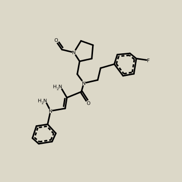 N/C(=C\N(N)c1ccccc1)C(=O)N(CCc1ccc(F)cc1)CC1CCCN1C=O